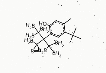 BC(B)(B)C(c1cc(C(C)(C)C)c(C)cc1O)(C(B)(B)B)C1(B)B=C1